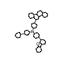 c1ccc(-c2ccc(N(c3ccc(-c4cc5c6ccccc6ccc5c5ccccc45)cc3)c3ccc(-c4cccc5c4oc4ccccc45)cc3)cc2)cc1